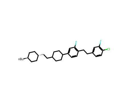 CCCC[C@H]1CC[C@H](CCC2CCC(c3ccc(CCc4ccc(Cl)c(F)c4)c(F)c3)CC2)CC1